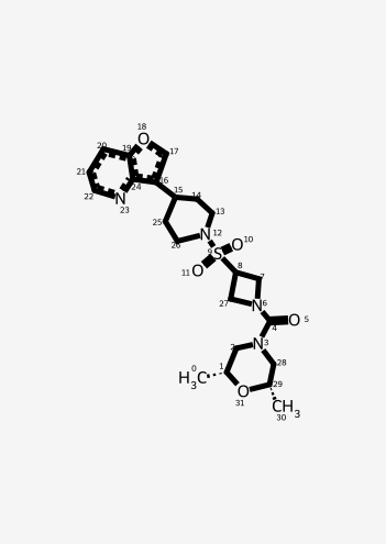 C[C@@H]1CN(C(=O)N2CC(S(=O)(=O)N3CCC(c4coc5cccnc45)CC3)C2)C[C@H](C)O1